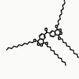 CCCCCCCCCCCOC(=O)c1ccc(C(=O)c2ccc(C(=O)OCCCCCCCCCCC)c(C(=O)OCCCCCCCCCCC)c2)cc1C(=O)OCCCCCCCCCCC